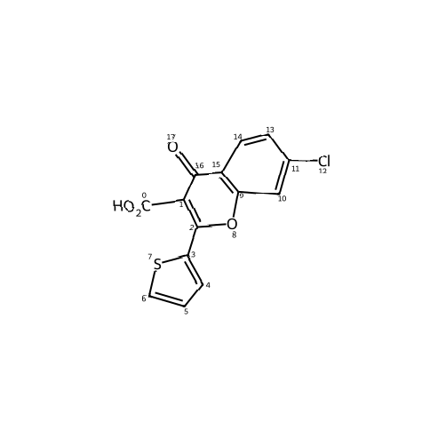 O=C(O)c1c(-c2cccs2)oc2cc(Cl)ccc2c1=O